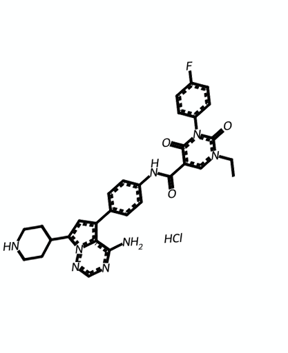 CCn1cc(C(=O)Nc2ccc(-c3cc(C4CCNCC4)n4ncnc(N)c34)cc2)c(=O)n(-c2ccc(F)cc2)c1=O.Cl